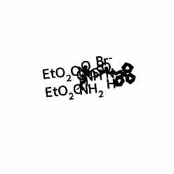 CCOC(=O)CNC(=O)[C@H](CSSCC(=O)NCCC[P+](c1ccccc1)(c1ccccc1)c1ccccc1)NC(=O)CC[C@H](N)C(=O)OCC.[Br-]